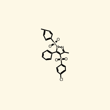 Cc1ccc(S(=O)(=O)n2nc(C)c(S(=O)(=O)c3ccc(Cl)cc3)c2-c2ccccc2)cc1